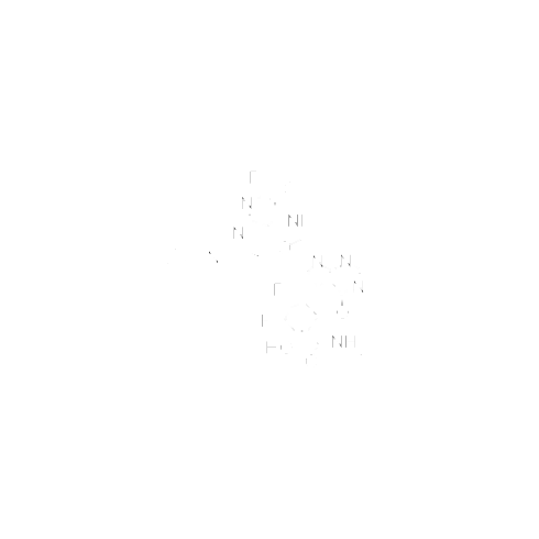 C[C@H]1CN(CC2CC2)CCN1c1cc(NC(=O)Cn2cc(-c3cc(C(N)=O)c(O)c(F)c3F)c3c(=O)n(C)cnc32)c(Cl)c(F)n1